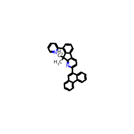 CC1(C)c2nc(-c3cc4ccccc4c4ccccc34)ccc2-c2cccc(-c3ccccn3)c21